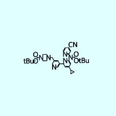 CC(C)(C)OC(=O)N1CCN(Cc2cncc(-c3cc(C4CC4)cc(N(C(=O)OC(C)(C)C)c4cc(C#N)ccn4)n3)c2)CC1